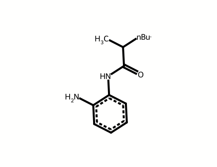 CCC[CH]C(C)C(=O)Nc1ccccc1N